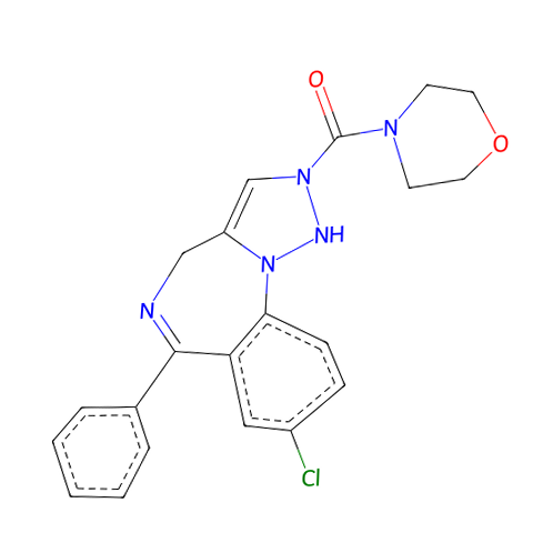 O=C(N1CCOCC1)N1C=C2CN=C(c3ccccc3)c3cc(Cl)ccc3N2N1